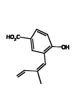 C=CC(C)=Cc1cc(C(=O)O)ccc1O